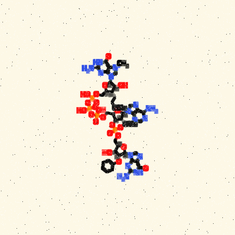 COCC[C@H]1[C@@H](O)[C@H](n2c[n+](C)c3c(=O)[nH]c(N)nc32)O[C@@H]1COP(=O)(O)OP(=O)(O)OP(=O)(O)OCC1O[C@@H](n2cnc3c(N)ncnc32)[C@H](OC)[C@@H]1OP(=O)([O-])OC[C@H]1O[C@@H](n2cnc3c(=O)[nH]c(N)nc32)[C@H](Oc2ccccc2)[C@@H]1O